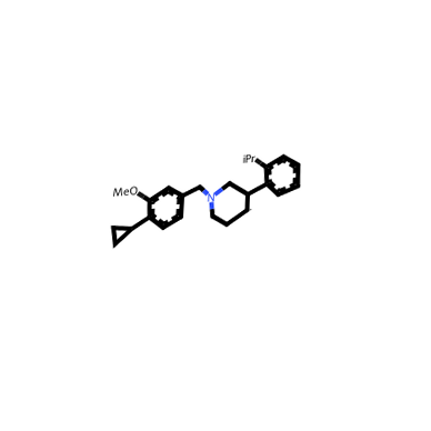 COc1cc(CN2CC[CH]C(c3ccccc3C(C)C)C2)ccc1C1CC1